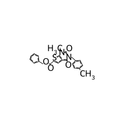 Cc1ccc(Cn2c(=O)c3cc(C(=O)OCc4ccccc4)sc3n(C)c2=O)cc1